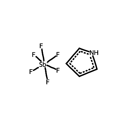 [F][Sb-]([F])([F])([F])([F])[F].c1cc[nH]c1